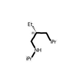 CC[C@@H](CNC(C)C)CC(C)C